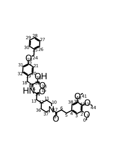 COc1cc(CCC(=O)N2CCC(CC(=O)N[C@@H](Cc3ccc(OCc4ccccc4)cc3)C(=O)O)CC2)cc(OC)c1OC